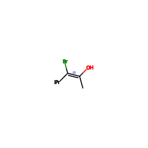 C/C(O)=C(/Br)C(C)C